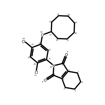 O=C1C2=C(CCCC2)C(=O)N1c1cc(OC2CCCCCCC2)c(Cl)cc1Cl